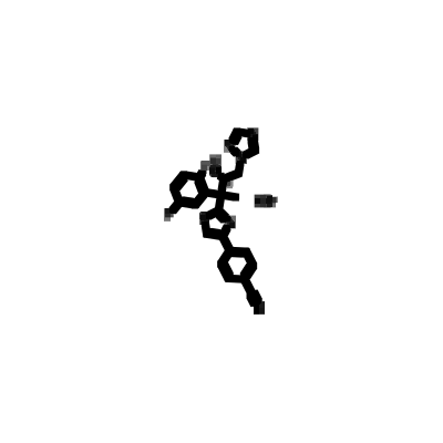 Br.CC(c1nc(-c2ccc(C#N)cc2)cs1)(c1cc(F)ccc1F)[C@@H](O)Cn1cncn1